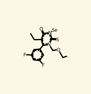 CCOCn1c(-c2cc(F)cc(F)c2)c(CC)c(=O)n([Se])c1=S